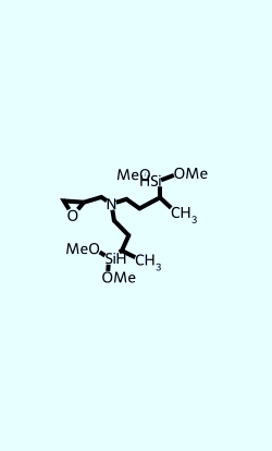 CO[SiH](OC)C(C)CCN(CCC(C)[SiH](OC)OC)CC1CO1